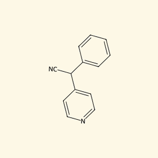 N#CC(c1ccccc1)c1ccncc1